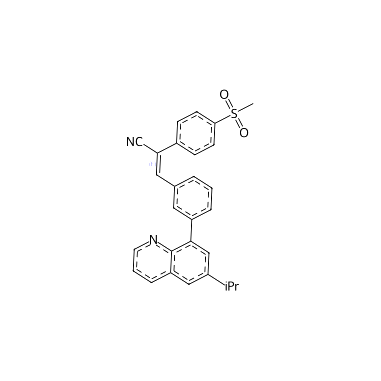 CC(C)c1cc(-c2cccc(/C=C(/C#N)c3ccc(S(C)(=O)=O)cc3)c2)c2ncccc2c1